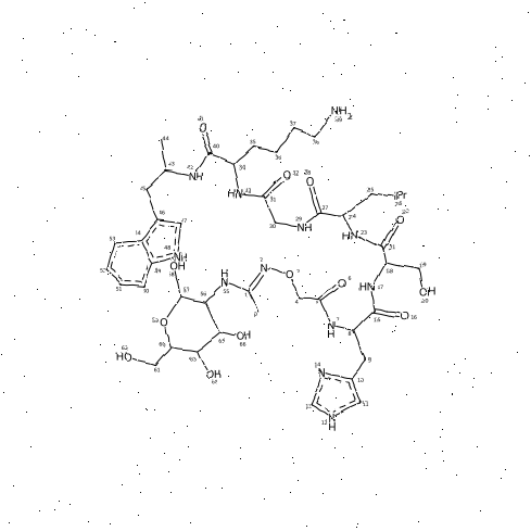 C/C(=N\OCC(=O)NC(Cc1c[nH]cn1)C(=O)NC(CO)C(=O)NC(CC(C)C)C(=O)NCC(=O)NC(CCCCN)C(=O)NC(C)Cc1c[nH]c2ccccc12)NC1C(O)OC(CO)C(O)C1O